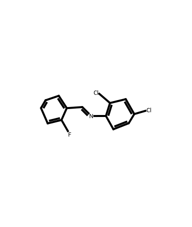 Fc1ccccc1C=Nc1ccc(Cl)cc1Cl